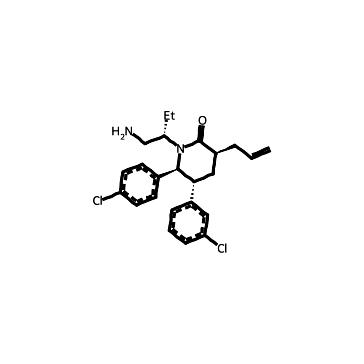 C=CC[C@H]1C[C@H](c2cccc(Cl)c2)[C@@H](c2ccc(Cl)cc2)N([C@@H](CC)CN)C1=O